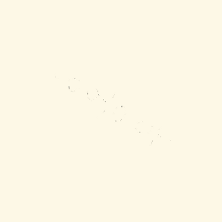 Cc1ccc(-c2ccc(N3C(=O)c4ccc(Cc5ccc6c(c5)C(=O)N(C)C6=O)cc4C3=O)cc2)cc1